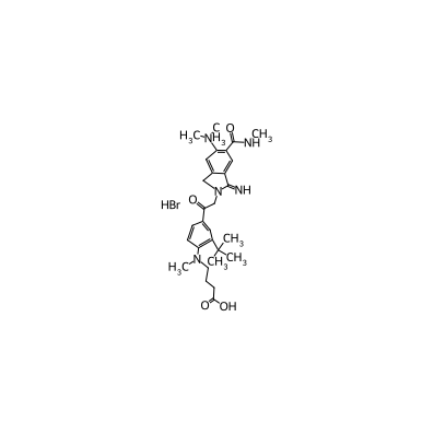 Br.CNC(=O)c1cc2c(cc1N(C)C)CN(CC(=O)c1ccc(N(C)CCCC(=O)O)c(C(C)(C)C)c1)C2=N